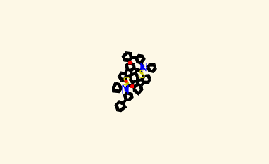 c1ccc(-c2cccc(N(c3ccccc3)c3cc4c(s3)C3(c5ccccc5-c5ccccc53)c3cc(N(c5ccccc5)c5cccc(-c6ccccc6)c5)sc3C43c4ccccc4-c4ccccc43)c2)cc1